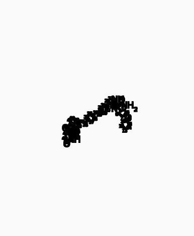 NC(=O)c1c(-c2ccc(Oc3ccccc3)cc2)nn2c1NCCC2C1CCN(CCc2ccc(CCSc3cccc4c3C(=O)N(C3CCC(=O)NC3=O)C4=O)cc2)CC1